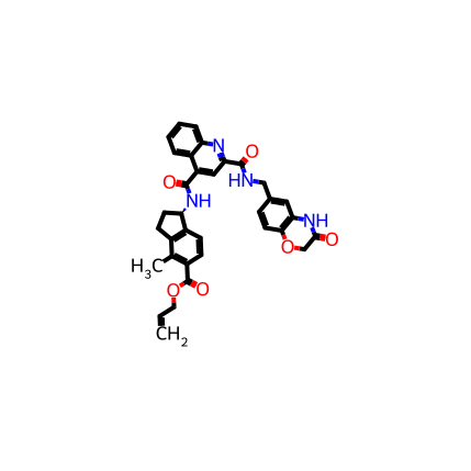 C=CCOC(=O)c1ccc2c(c1C)CC[C@@H]2NC(=O)c1cc(C(=O)NCc2ccc3c(c2)NC(=O)CO3)nc2ccccc12